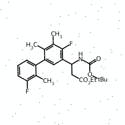 CCOC(=O)CC(NC(=O)OC(C)(C)C)c1cc(-c2cccc(F)c2C)c(C)c(C)c1F